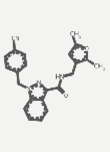 Cc1cc(CNC(=O)c2nn(Cc3ccc(C#N)cc3)c3ccccc23)c(C)o1